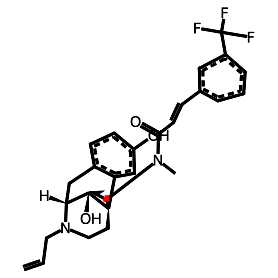 C=CCN1CC[C@]23CC(N(C)C(=O)/C=C/c4cccc(C(F)(F)F)c4)CC[C@@]2(O)[C@H]1Cc1ccc(O)cc13